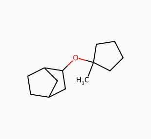 CC1(OC2CC3CCC2C3)CCCC1